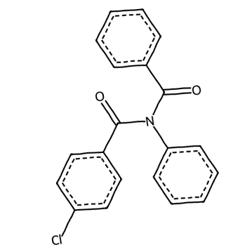 O=C(c1ccccc1)N(C(=O)c1ccc(Cl)cc1)c1ccccc1